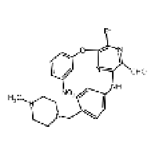 CCc1nc(C=O)c(Nc2ccc(CN3CCN(C)CC3)cc2)nc1Oc1cccc([N+](=O)[O-])c1